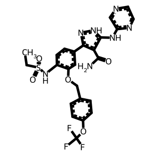 CCS(=O)(=O)Nc1ccc(-c2n[nH]c(Nc3cnccn3)c2C(N)=O)cc1OCc1ccc(OC(F)(F)F)cc1